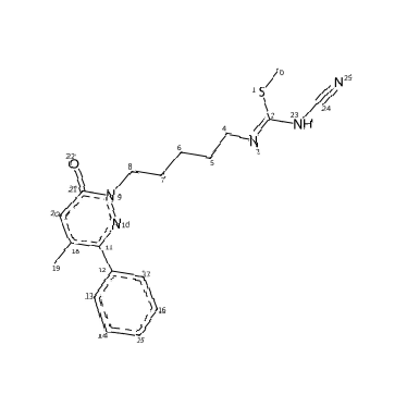 CSC(=NCCCCCn1nc(-c2ccccc2)c(C)cc1=O)NC#N